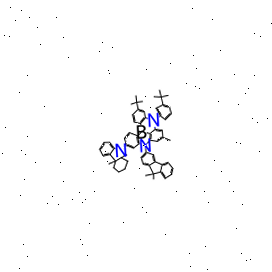 Cc1cc2c3c(c1)N(c1cccc(C(C)(C)C)c1)c1cc(C(C)(C)C)ccc1B3c1ccc(N3c4ccccc4C4(C)CCCCC34C)cc1N2c1ccc2c(c1)-c1ccccc1C2(C)C